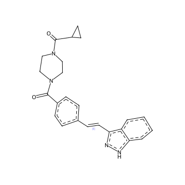 O=C(c1ccc(/C=C/c2n[nH]c3ccccc23)cc1)N1CCN(C(=O)C2CC2)CC1